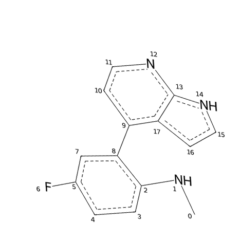 CNc1ccc(F)cc1-c1ccnc2[nH]ccc12